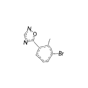 Cc1c(Br)cccc1-c1ncno1